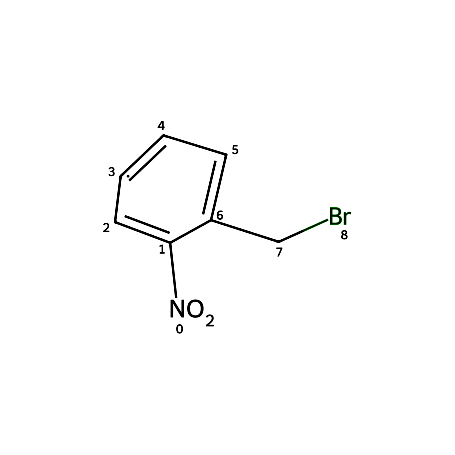 O=[N+]([O-])c1c[c]ccc1CBr